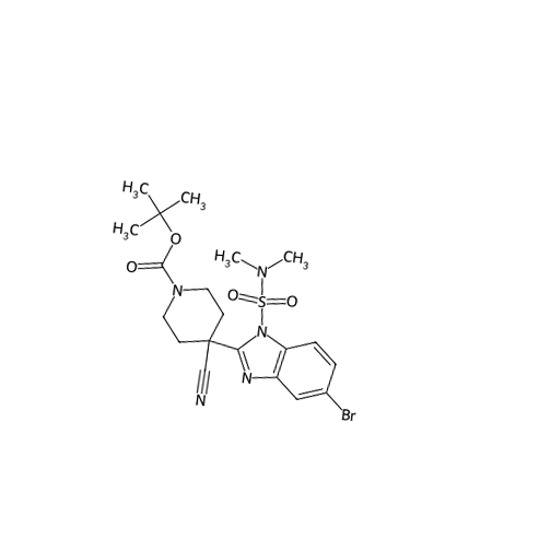 CN(C)S(=O)(=O)n1c(C2(C#N)CCN(C(=O)OC(C)(C)C)CC2)nc2cc(Br)ccc21